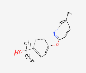 CC(C)c1ccc(Oc2ccc(C(C)(C)O)cc2)nc1